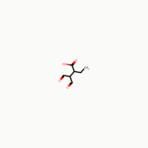 CCC(C(=O)O)C(C=O)C=O